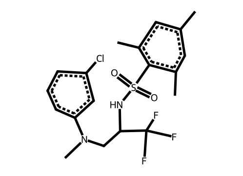 Cc1cc(C)c(S(=O)(=O)NC(CN(C)c2cccc(Cl)c2)C(F)(F)F)c(C)c1